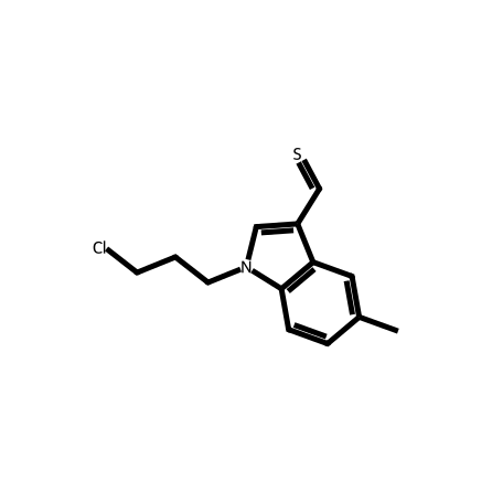 Cc1ccc2c(c1)c(C=S)cn2CCCCl